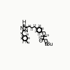 Cc1ccc(Cc2n[nH]c(CCCc3ccc(OC(C)(C)C(=O)OC(C)(C)C)cc3)n2)cc1